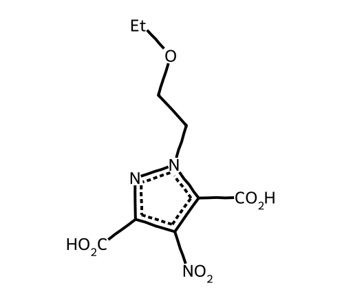 CCOCCn1nc(C(=O)O)c([N+](=O)[O-])c1C(=O)O